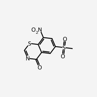 CS(=O)(=O)c1cc([N+](=O)[O-])c2scnc(=O)c2c1